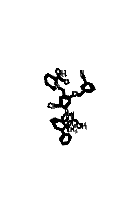 CC1(C)C(c2ccccc2)=CC=CC1(COc1cc(OCc2cccc(C#N)c2)c(CN2CCCC[C@H]2C(=O)O)cc1Cl)c1nnc(CO)o1